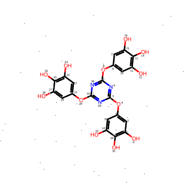 Oc1cc(Oc2nc(Oc3cc(O)c(O)c(O)c3)nc(Oc3cc(O)c(O)c(O)c3)n2)cc(O)c1O